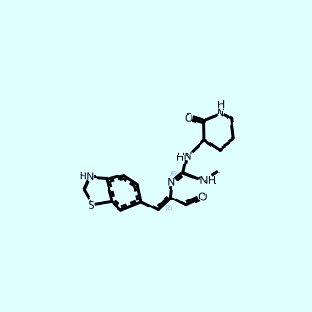 CN/C(=N\C(C=O)=C/c1ccc2c(c1)SCN2)NC1CCCNC1=O